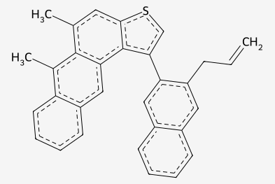 C=CCc1cc2ccccc2cc1-c1csc2cc(C)c3c(C)c4ccccc4cc3c12